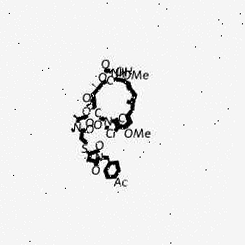 COc1cc2cc(c1Cl)N(C)C(=O)C[C@H](OC(=O)[C@H](C)N(C)C(=O)CCSC1CC(=O)N(C[C@H]3CC[C@H](C(C)=O)CC3)C1=O)[C@]1(C)OC1[C@H](C)C1C[C@@](O)(NC(=O)O1)[C@H](OC)/C=C/C=C(\C)C2